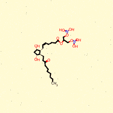 CCCCCCCC(=O)CC[C@@H]1[C@@H](C/C=C\CCCC(=O)OC(CON(O)O)CON(O)O)[C@@H](O)C[C@H]1O